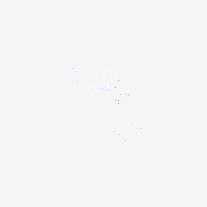 COC[C@H](NC(=O)C(CC(N)=O)OC(C)(C)C)C(=O)NCc1cccc2ccccc12